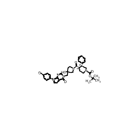 CC(C)(C)OC(=O)N1CC[C@@H](C(=O)N2CCC(O)(Cn3cnc4c(ccn4-c4ccc(Cl)cc4)c3=O)CC2)[C@H](c2ccccc2)C1